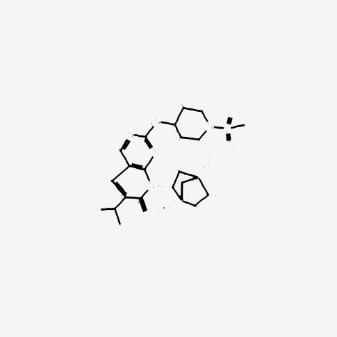 CS(=O)(=O)N1CCC(Nc2ncc3cc(C(F)F)c(=O)n([C@@H]4C[C@H]5CC[C@@H]4C5)c3n2)CC1